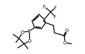 COC(=O)CCc1cc(B2OC(C)(C)C(C)(C)O2)ccc1C(F)(F)F